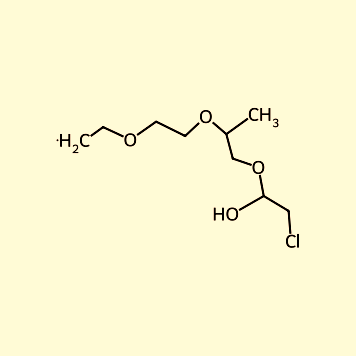 [CH2]COCCOC(C)COC(O)CCl